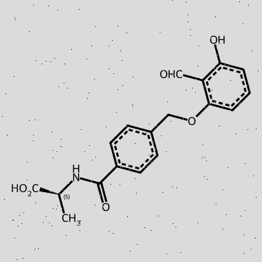 C[C@H](NC(=O)c1ccc(COc2cccc(O)c2C=O)cc1)C(=O)O